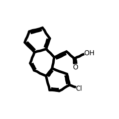 O=C(O)C=C1c2ccccc2C=Cc2ccc(Cl)cc21